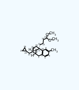 C=C1[C@H]2Cc3ccc(C)cc3[C@]1(CCCC(OC)OC)CCN2CC1CC1